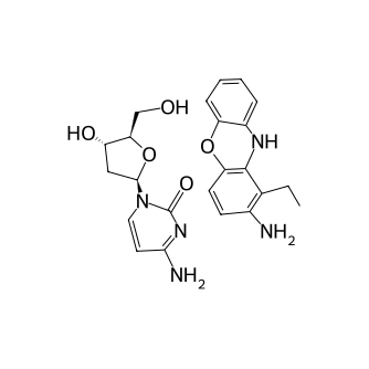 CCc1c(N)ccc2c1Nc1ccccc1O2.Nc1ccn([C@H]2C[C@H](O)[C@@H](CO)O2)c(=O)n1